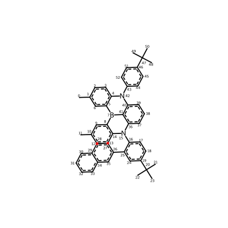 Cc1ccc2c(c1)B1c3cc(C)ccc3N(c3ccc(C(C)(C)C)cc3-c3ccc4ccccc4c3)c3cccc(c31)N2c1ccc(C(C)(C)C)cc1